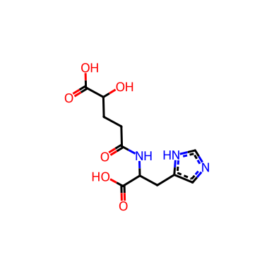 O=C(CCC(O)C(=O)O)NC(Cc1cnc[nH]1)C(=O)O